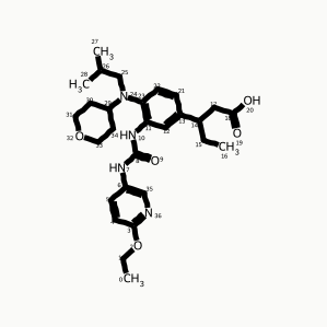 CCOc1ccc(NC(=O)Nc2cc(C(CC)CC(=O)O)ccc2N(CC(C)C)C2CCOCC2)cn1